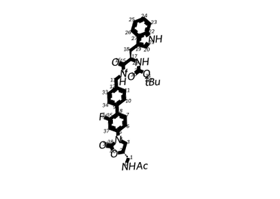 CC(=O)NC[C@H]1CN(c2ccc(-c3ccc(CNC(=O)[C@@H](Cc4c[nH]c5ccccc45)NC(=O)OC(C)(C)C)cc3)c(F)c2)C(=O)O1